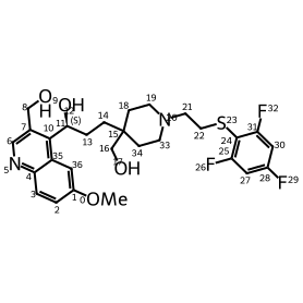 COc1ccc2ncc(CO)c([C@@H](O)CCC3(CO)CCN(CCSc4c(F)cc(F)cc4F)CC3)c2c1